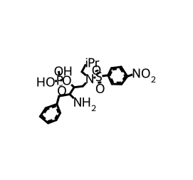 CC(C)CN(CC(OP(=O)(O)O)C(N)Cc1ccccc1)S(=O)(=O)c1ccc([N+](=O)[O-])cc1